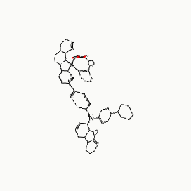 C1=CC2C(CC1)CCC1C3C=CC(C4=CCC(N(C5=CCC(C6CCCCC6)CC5)C5C=CCC6C7CCCC=C7OC65)C=C4)=CC3C3(C4=C(CCCC4)OC4CCC=CC43)C21